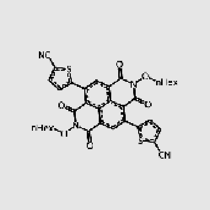 CCCCCCON1C(=O)c2cc(-c3ccc(C#N)s3)c3c4c(cc(-c5ccc(C#N)s5)c(c24)C1=O)C(=O)N(OCCCCCC)C3=O